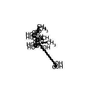 CCCCCC[C@@H](CCC[C@H](O)CCCCCCCCCCCCC[C@@H](O)C(=O)O)O[C@H]1OC[C@H](O)[C@@H](O)[C@@H]1OC1OC[C@H](OC(C)=O)[C@@H](O)[C@@H]1O[C@H]1O[C@@H](COC(=O)CC(C)C)[C@H](O)[C@@H](O)[C@@H]1O